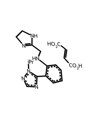 CC(C)n1ncnc1-c1ccccc1NCC1=NCCN1.O=C(O)C=CC(=O)O